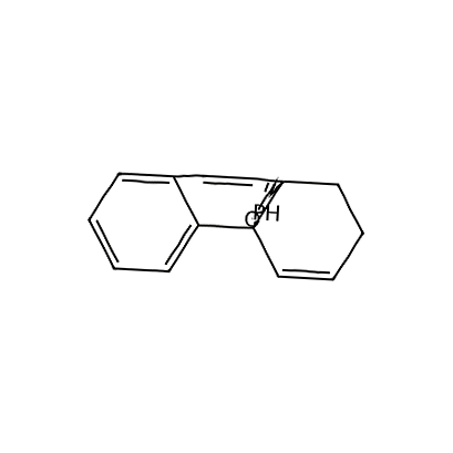 C1=CC23POC=CC2(C=Cc2ccccc23)CC1